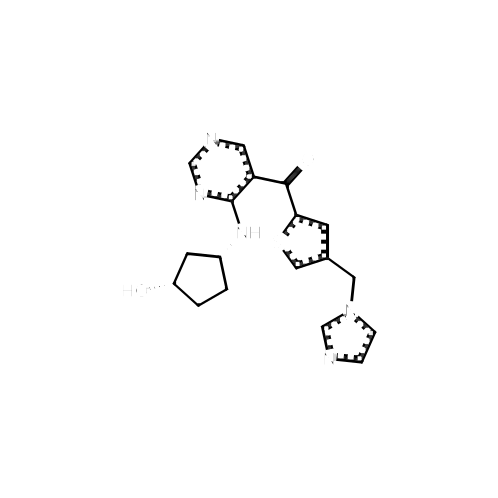 O=C(c1cc(Cn2ccnc2)cs1)c1cncnc1N[C@@H]1C[CH][C@H](O)C1